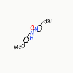 COc1ccc(CNC(=O)N2CCCC(CC(C)(C)C)C2)cc1